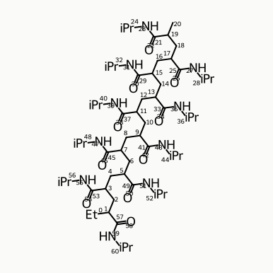 CCC(CC(CC(CC(CC(CC(CC(CC(CC(CC(C)C(=O)NC(C)C)C(=O)NC(C)C)C(=O)NC(C)C)C(=O)NC(C)C)C(=O)NC(C)C)C(=O)NC(C)C)C(=O)NC(C)C)C(=O)NC(C)C)C(=O)NC(C)C)C(=O)NC(C)C